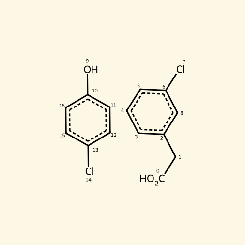 O=C(O)Cc1cccc(Cl)c1.Oc1ccc(Cl)cc1